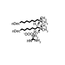 CCCCCCCCCCCCCCCCC[N+](C)(C)C.CCCCCCCCCCCCCCCCC[N+](C)(C)C.N=C(N)N.O=C([O-])[O-]